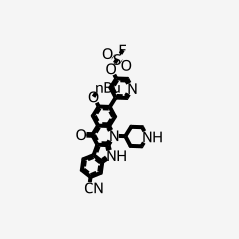 CCCCOc1cc2c(=O)c3c4ccc(C#N)cc4[nH]c3n(C3CCNCC3)c2cc1-c1cncc(OS(=O)(=O)F)c1